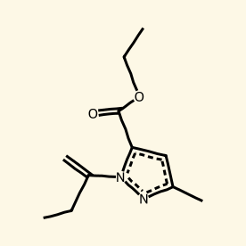 C=C(CC)n1nc(C)cc1C(=O)OCC